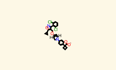 COC(=O)C1(c2ccc(N3C[C@@H]4C[C@H]3C[C@@H]4OCc3c(-c4c(Cl)cccc4Cl)noc3C3CC3)cc2)CCC1